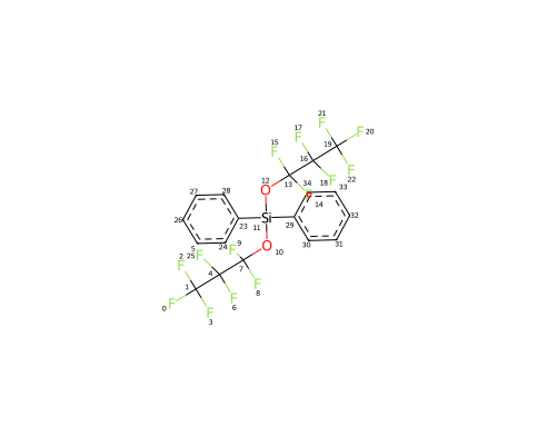 FC(F)(F)C(F)(F)C(F)(F)O[Si](OC(F)(F)C(F)(F)C(F)(F)F)(c1ccccc1)c1ccccc1